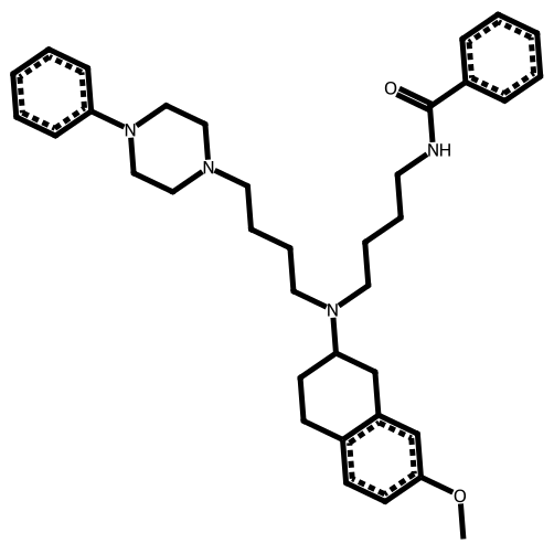 COc1ccc2c(c1)CC(N(CCCCNC(=O)c1ccccc1)CCCCN1CCN(c3ccccc3)CC1)CC2